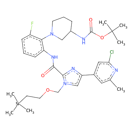 Cc1cc(-c2cn(COCC[Si](C)(C)C)c(C(=O)Nc3cccc(F)c3N3CCCC(NC(=O)OC(C)(C)C)C3)n2)cc(Cl)n1